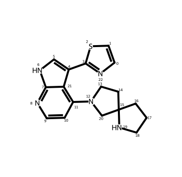 c1csc(-c2c[nH]c3nccc(N4CCC5(CCCN5)C4)c23)n1